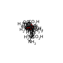 CC[C@H](C)[C@H](NC(=O)[C@H](CC(N)=O)NC(=O)[C@@H]1CCCN1C(=O)[C@H](CCCNC(=N)N)NC(=O)[C@H](C)NC(=O)[C@@H]1CCCN1C(=O)[C@H](CC(=O)O)NC(=O)[C@@H](N)CCCCN)C(=O)N[C@@H](CCC(N)=O)C(=O)N[C@@H](CCCCNC(C)=C1C(=O)CC(C)(C)CC1=O)C(=O)O